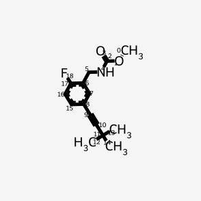 COC(=O)NCc1cc(C#CC(C)(C)C)ccc1F